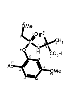 COCP(=O)(N[C@](C)(C(=O)O)C(C)C)Oc1cc(OC)ccc1C(C)=O